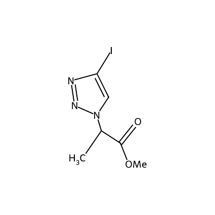 COC(=O)C(C)n1cc(I)nn1